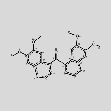 COc1cc2ncnc(C(=O)c3ncnc4cc(OC)c(OC)cc34)c2cc1OC